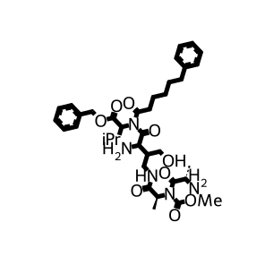 COC(=O)N(C(=O)[C@H](C)N)[C@@H](C)C(=O)NCC(CO)C(N)C(=O)N(C(=O)CCCCCc1ccccc1)C(C(=O)OCc1ccccc1)C(C)C